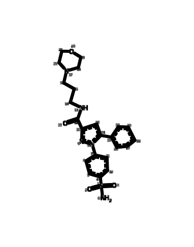 NS(=O)(=O)c1ccc(-n2nc(C(=O)NCCCN3CCOCC3)cc2-c2ccccc2)cc1